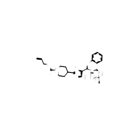 C=CCOC(=O)N1CCC(c2nc(C(Oc3ccccc3)N3C=NN(F)N3)cs2)CC1